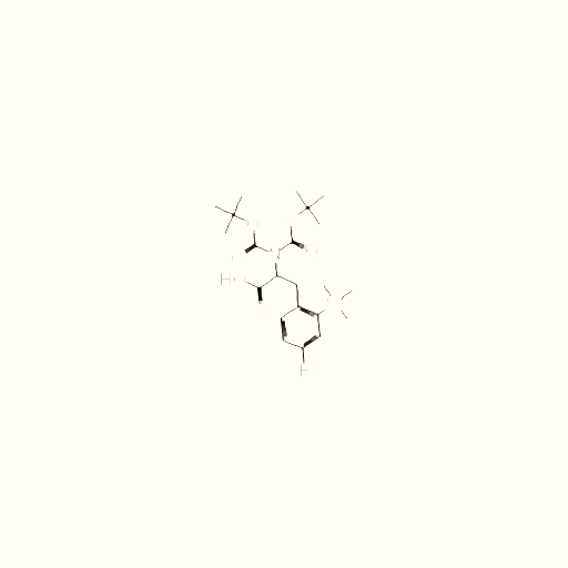 CC(C)(C)OC(=O)N(C(=O)OC(C)(C)C)C(Cc1ccc(Br)c[c]1[Sn]([CH3])([CH3])[CH3])C(=O)O